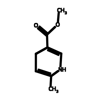 COC(=O)C1=CNC(C)=CC1